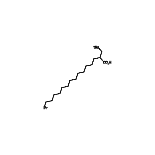 [CH2]C([CH2])([CH2])CC(CCCCCCCCCCCCCC(C)C)C(=O)O